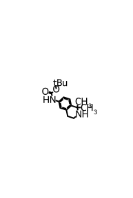 CC(C)(C)OC(=O)Nc1ccc2c(c1)CCNC2(C)C